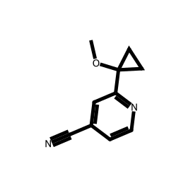 COC1(c2cc(C#N)ccn2)CC1